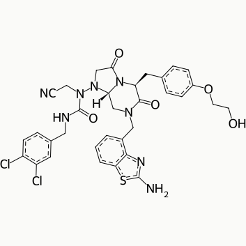 N#CCN(C(=O)NCc1ccc(Cl)c(Cl)c1)N1CC(=O)N2[C@@H](Cc3ccc(OCCO)cc3)C(=O)N(Cc3cccc4sc(N)nc34)C[C@@H]21